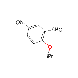 CC(C)Oc1ccc(N=O)cc1C=O